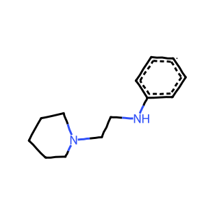 [c]1ccc(NCCN2CCCCC2)cc1